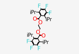 CC(C)c1c(F)c(F)c(F)c(C(C)C)c1C(=O)OCCOC(=O)c1c(C(C)C)c(F)c(F)c(F)c1C(C)C